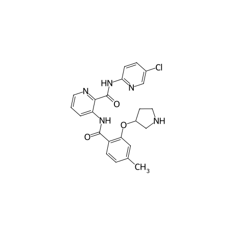 Cc1ccc(C(=O)Nc2cccnc2C(=O)Nc2ccc(Cl)cn2)c(OC2CCNC2)c1